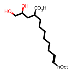 CCCCCCCCC=CCCCCCCC(CC(O)CO)C(=O)O